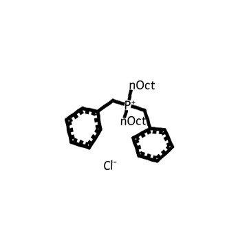 CCCCCCCC[P+](CCCCCCCC)(Cc1ccccc1)Cc1ccccc1.[Cl-]